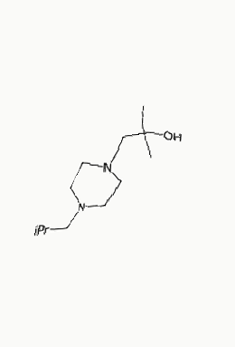 CC(C)CN1CCN(CC(C)(C)O)CC1